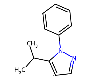 CC(C)c1[c]cnn1-c1ccccc1